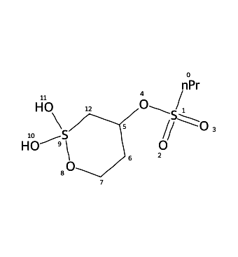 CCCS(=O)(=O)OC1CCOS(O)(O)C1